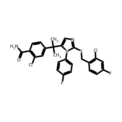 CC(C)(c1ccc(C(N)=O)c(Cl)c1)c1cnc(SCc2ccc(F)cc2Cl)n1-c1ccc(F)cc1